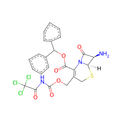 N[C@@H]1C(=O)N2C(C(=O)OC(c3ccccc3)c3ccccc3)=C(COC(=O)NC(=O)C(Cl)(Cl)Cl)CS[C@H]12